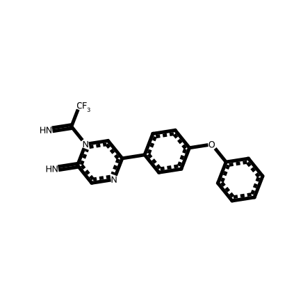 N=C(n1cc(-c2ccc(Oc3ccccc3)cc2)ncc1=N)C(F)(F)F